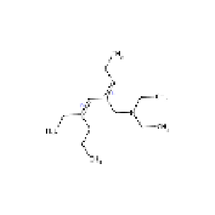 CC/C=C(\C=C(\CC)CCC)CN(CC)CC